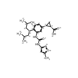 Cc1cc(NC(=O)Nc2cc([C@H]3C[C@H]3C(=O)O)ccc2N(CC(C)C)CC(C)C)no1